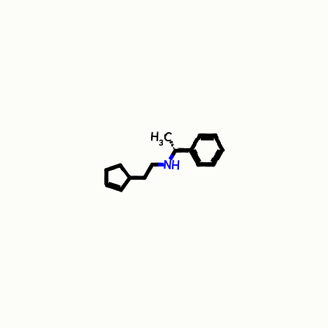 C[C@@H](NCCC1C=CCC1)c1ccccc1